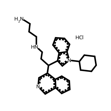 Cl.NCCCNCCC(c1cncc2ccccc12)c1cn(C2CCCCC2)c2ccccc12